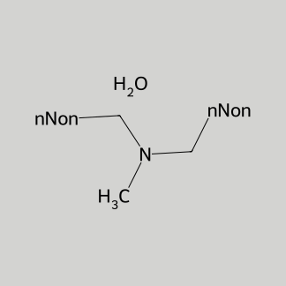 CCCCCCCCCCN(C)CCCCCCCCCC.O